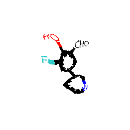 O=Cc1cc(-c2cccnc2)cc(F)c1O